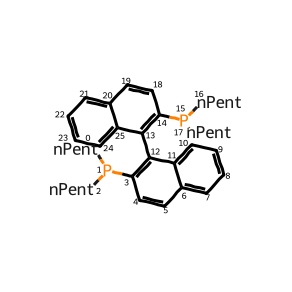 CCCCCP(CCCCC)c1ccc2ccccc2c1-c1c(P(CCCCC)CCCCC)ccc2ccccc12